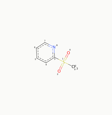 O=S(=O)(c1cc[c]cn1)C(F)(F)F